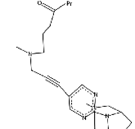 CC(C)C(=O)CCCN(C)CC#Cc1cnc(N2C3CCC2CN(C)C3)nc1